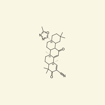 Cc1nnc([C@@]23CCC4C(C(=O)C=C5[C@@]6(C)C=C(C#N)C(=O)C(C)(C)C6CC[C@]54C)C2CC(C)(C)CC3)o1